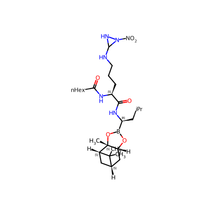 CCCCCCC(=O)N[C@@H](CCCNC1NN1[N+](=O)[O-])C(=O)N[C@@H](CC(C)C)B1O[C@@H]2C[C@@H]3C[C@@H](C3(C)C)[C@]2(C)O1